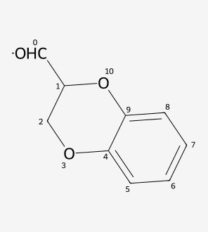 O=[C]C1COc2ccccc2O1